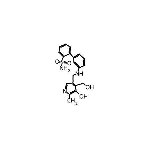 Cc1ncc(CNc2cccc(-c3ccccc3S(N)(=O)=O)c2)c(CO)c1O